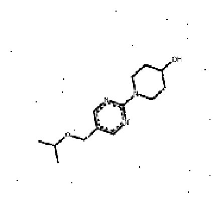 CC(C)OCc1cnc(N2CCC(O)CC2)nc1